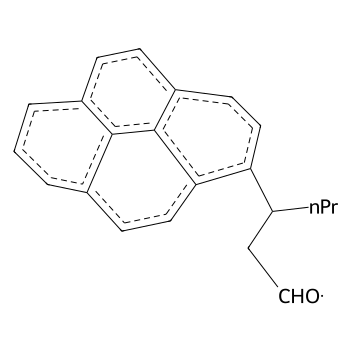 CCCC(C[C]=O)c1ccc2ccc3cccc4ccc1c2c34